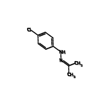 CC(C)=NNc1ccc(Cl)cc1